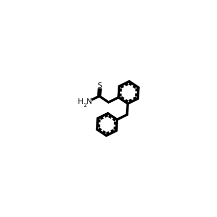 NC(=S)Cc1ccccc1Cc1ccccc1